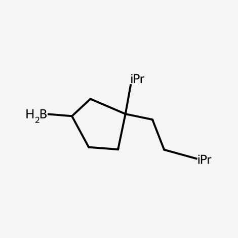 BC1CCC(CCC(C)C)(C(C)C)C1